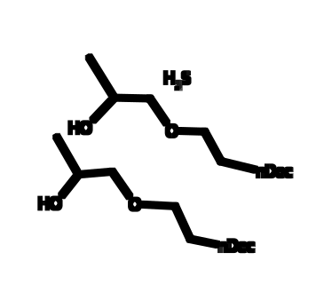 CCCCCCCCCCCCOCC(C)O.CCCCCCCCCCCCOCC(C)O.S